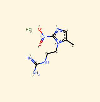 Cc1cnc([N+](=O)[O-])n1CCNC(=N)N.Cl